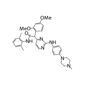 COc1ccc(C(C(=O)Nc2c(C)cccc2C)c2ccnc(Nc3ccc(N4CCN(C)CC4)cc3)n2)c(OC)c1